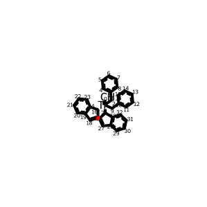 [CH2]=[Ti]([CH2]c1ccccc1)([CH2]c1ccccc1)([CH]1C=Cc2ccccc21)[CH]1C=Cc2ccccc21